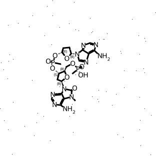 Cn1c(=O)n([C@H]2C[C@H](OP(C)(=O)O[C@@H]3CC[C@H](n4cnc5c(N)ncnc54)O3)[C@@H](COP(C)(=O)O)O2)c2ncnc(N)c21